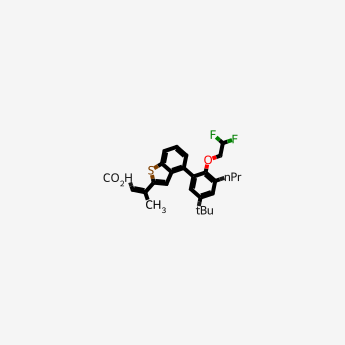 CCCc1cc(C(C)(C)C)cc(-c2cccc3sc(/C(C)=C\C(=O)O)cc23)c1OCC(F)F